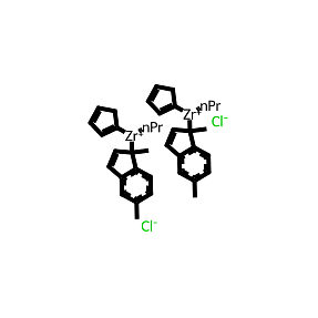 CC[CH2][Zr+]([C]1=CC=CC1)[C]1(C)C=Cc2cc(C)ccc21.CC[CH2][Zr+]([C]1=CC=CC1)[C]1(C)C=Cc2cc(C)ccc21.[Cl-].[Cl-]